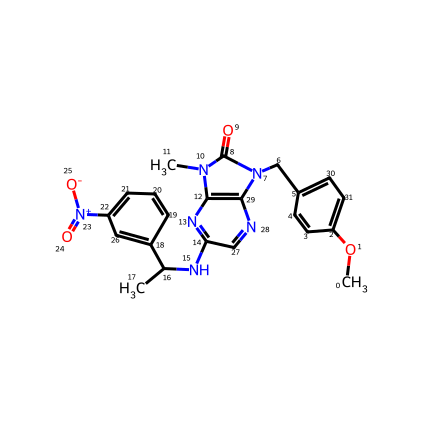 COc1ccc(Cn2c(=O)n(C)c3nc(NC(C)c4cccc([N+](=O)[O-])c4)cnc32)cc1